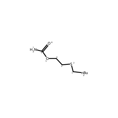 CCCCCSCCOC(N)=O